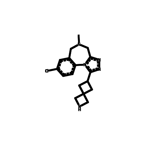 CN1Cc2cc(Cl)ccc2-n2c(nnc2C2CC3(CNC3)C2)C1